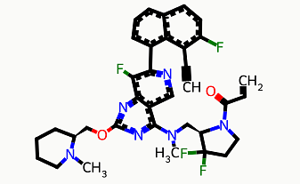 C#Cc1c(F)ccc2cccc(-c3ncc4c(N(C)C[C@H]5N(C(=O)C=C)CCC5(F)F)nc(OC[C@@H]5CCCCN5C)nc4c3F)c12